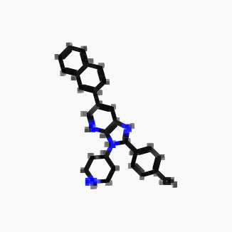 Cc1ccc(-c2nc3cc(-c4ccc5ccccc5c4)cnc3n2C2CCNCC2)cc1